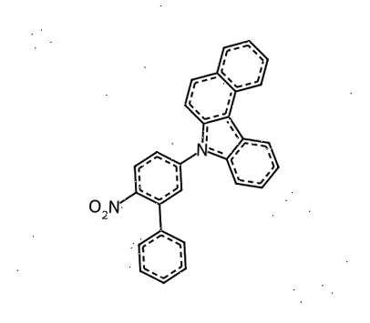 O=[N+]([O-])c1ccc(-n2c3ccccc3c3c4ccccc4ccc32)cc1-c1ccccc1